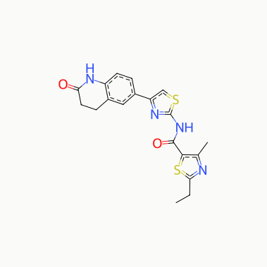 CCc1nc(C)c(C(=O)Nc2nc(-c3ccc4c(c3)CCC(=O)N4)cs2)s1